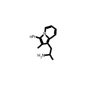 CCCc1c(C)c(CC(C)N)c2ccccn12